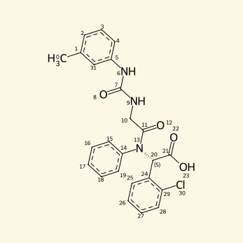 Cc1cccc(NC(=O)NCC(=O)N(c2ccccc2)[C@H](C(=O)O)c2ccccc2Cl)c1